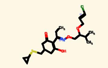 CC/C(=N\OCC(OC/C=C/Cl)C(C)C)C1=C(O)CC(CSC2CC2)CC1=O